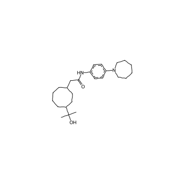 CC(C)(O)C1CCCCC(CC(=O)Nc2ccc(N3CCCCCC3)cc2)CC1